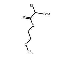 CCCCCC(CC)C(=O)OCCOC(F)(F)F